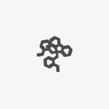 C=Cc1ccccc1CC1(Cc2ccccc2C=C)c2ccccc2-c2cccc(C)c21